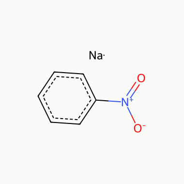 O=[N+]([O-])c1ccccc1.[Na]